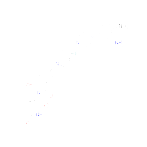 Nc1cc(N2CCN(CC3(F)CCN(c4ccc5c(c4)C(=O)N(C4CCC(=O)NC4=O)C5=O)CC3)CC2)ccc1[N+](=O)[O-]